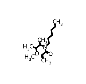 C=CC(=O)N(CCCCCC)C(C)C(C)OC